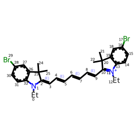 CCN1/C(=C/C=C/C=C/C=C/C2=[N+](CC)c3ccc(Br)cc3C2(C)C)C(C)(C)c2cc(Br)ccc21